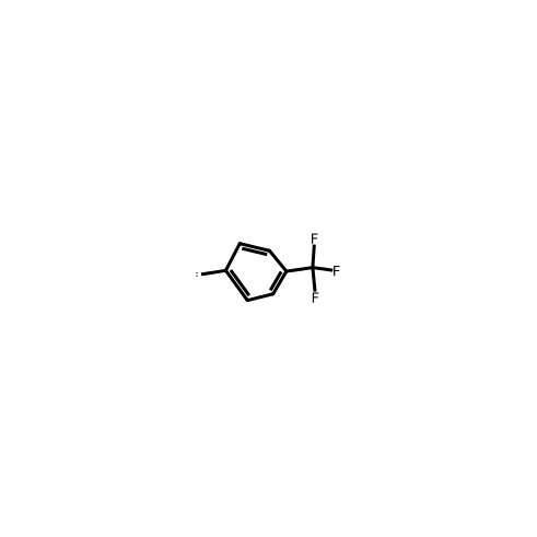 [CH]c1ccc(C(F)(F)F)cc1